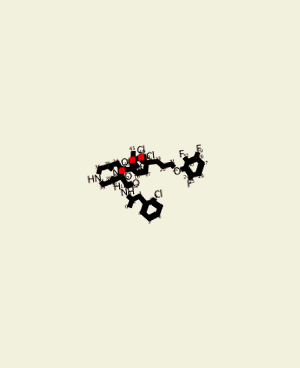 CC(Cc1ccccc1Cl)NC(=O)C1=C(c2ccc(CCCOc3c(F)ccc(F)c3F)cc2)CC2CNC[C@H]1N2C(=O)OC(C)(C)C(Cl)(Cl)Cl